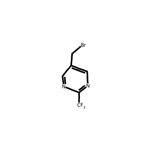 FC(F)(F)c1ncc(CBr)cn1